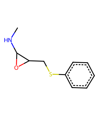 CNC1OC1CSc1ccccc1